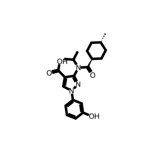 CC(C)N(c1nn(-c2cccc(O)c2)cc1C(=O)O)C(=O)[C@H]1CC[C@H](C)CC1